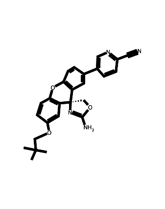 CC(C)(C)COc1ccc2c(c1)[C@@]1(COC(N)=N1)c1cc(-c3ccc(C#N)nc3)ccc1O2